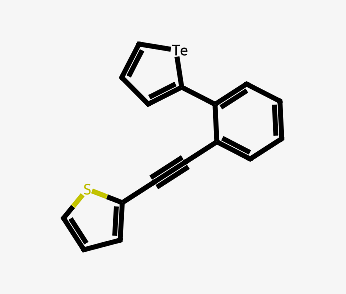 C(#Cc1ccccc1-c1ccc[te]1)c1cccs1